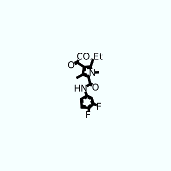 CCOC(=O)C(=O)c1c(C)c(C(=O)Nc2ccc(F)c(F)c2)n(C)c1C